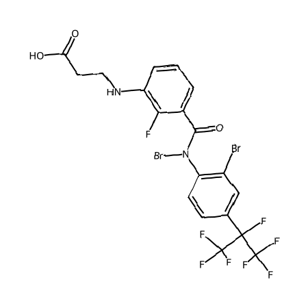 O=C(O)CCNc1cccc(C(=O)N(Br)c2ccc(C(F)(C(F)(F)F)C(F)(F)F)cc2Br)c1F